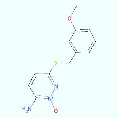 COc1cccc(CSc2ccc(N)[n+]([O-])n2)c1